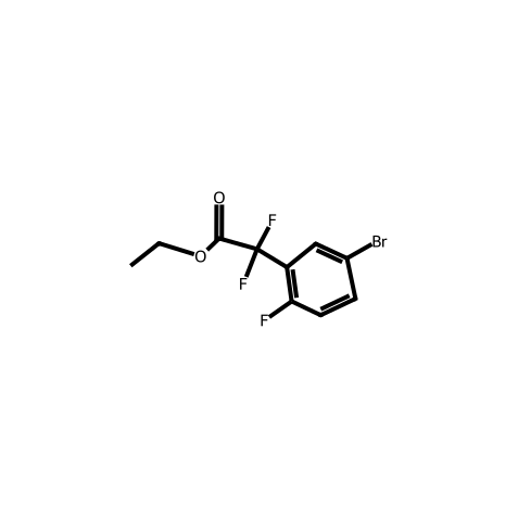 CCOC(=O)C(F)(F)c1cc(Br)ccc1F